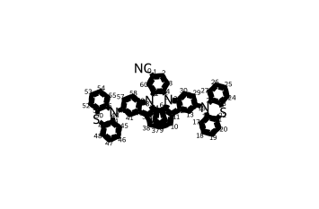 N#Cc1ccc(-n2c3ccccc3c3cc(N4c5ccccc5Sc5ccccc54)ccc32)c(-n2c3ccccc3c3cc(N4c5ccccc5Sc5ccccc54)ccc32)c1